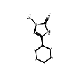 CCCCn1cc(C2CCCCC2)[nH]c1=O